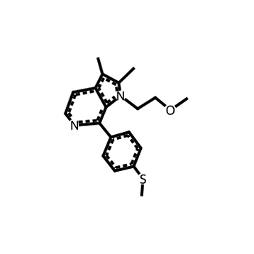 COCCn1c(C)c(C)c2ccnc(-c3ccc(SC)cc3)c21